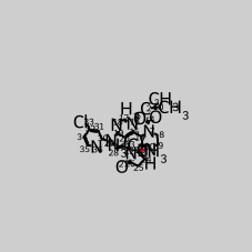 CC(C)(C)OC(=O)N1CCNC(C)(C)C1c1ncnc2c1c(N1CCCC1=O)cn2-c1cc(Cl)ccn1